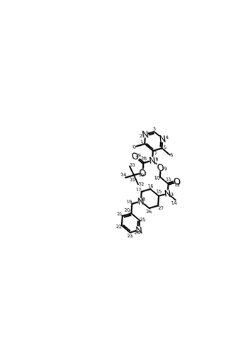 Cc1ncnc(C)c1N(OCC(=O)N(C)C1CCN(Cc2cccnc2)CC1)C(=O)OC(C)(C)C